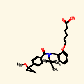 [2H]C(C)(C)N(Cc1ccccc1OCCCCCC(=O)O)C(=O)c1ccc(C2(OC)CC2)cc1